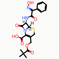 CC(C)(C)C(=O)OCC1=C(C(=O)O)N2C(=O)[C@@H](NC(=O)C(=NO)c3ccccc3)[C@@H]2SC1